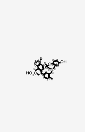 Cc1ccc([C@@H](CC(=O)O)c2ccc3c(nnn3C)c2C)cc1CN1Cc2nc(O)ccc2OC(C)(C)C1